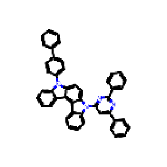 c1ccc(-c2ccc(-n3c4ccccc4c4c5c6ccccc6n(-c6cc(-c7ccccc7)nc(-c7ccccc7)n6)c5ccc43)cc2)cc1